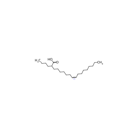 CCCCCCCC/C=C\CCCCCCC(CCCC)C(=O)O